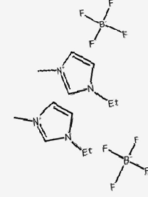 CCn1cc[n+](C)c1.CCn1cc[n+](C)c1.F[B-](F)(F)F.F[B-](F)(F)F